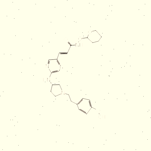 COc1ccc(CCN2CC[C@@H](Nc3cnc(C=CC(=O)NOC4CCCCO4)cn3)C2)cc1